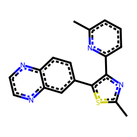 Cc1cccc(-c2nc(C)sc2-c2ccc3nccnc3c2)n1